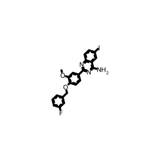 COc1cc(-c2nc(N)c3cc(I)ccc3n2)ccc1OCc1cccc(F)c1